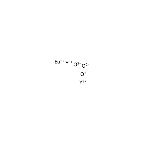 [Eu+3].[O-2].[O-2].[O-2].[Y+3].[Y+3]